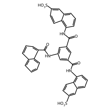 O=C(Nc1cccc2cc(S(=O)(=O)O)ccc12)c1cc(NC(=O)c2cccc3ccccc23)cc(C(=O)Nc2cccc3cc(S(=O)(=O)O)ccc23)c1